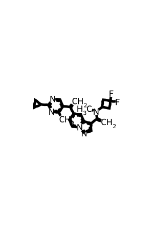 C=C(c1ccn2ncc(C(=C)N(C)C3CC(F)(F)C3)c2c1)c1cnc(C2CC2)nc1C